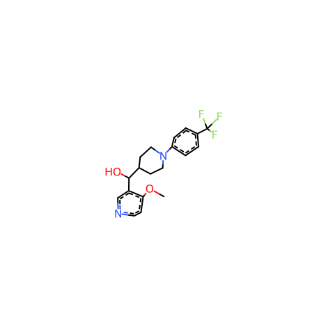 COc1ccncc1C(O)C1CCN(c2ccc(C(F)(F)F)cc2)CC1